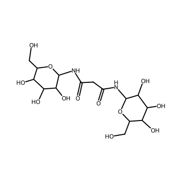 O=C(CC(=O)NC1OC(CO)C(O)C(O)C1O)NC1OC(CO)C(O)C(O)C1O